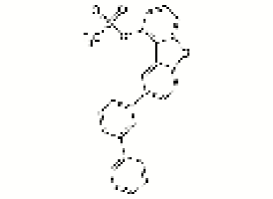 O=S(=O)(Oc1cccc2oc3ccc(-c4cccc(-c5ccccc5)c4)cc3c12)C(F)(F)F